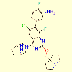 Nc1cc(-c2c(Cl)cc3c(N4CC5CCC(C4)N5)nc(OCC45CCCN4CCC5)nc3c2F)ccc1F